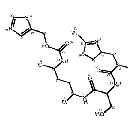 CCC(CCC(CC)NC(=O)C(CO)NC(=O)N(C)CC1CSC(C(C)C)=N1)NC(=O)OCc1cncs1